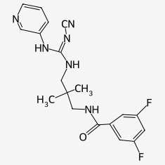 CC(C)(CNC(=O)c1cc(F)cc(F)c1)CNC(=NC#N)Nc1cccnc1